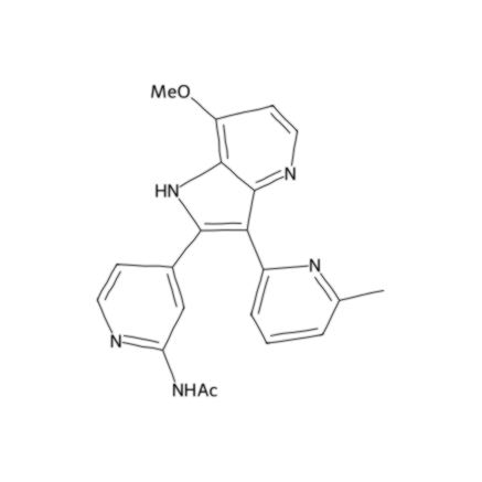 COc1ccnc2c(-c3cccc(C)n3)c(-c3ccnc(NC(C)=O)c3)[nH]c12